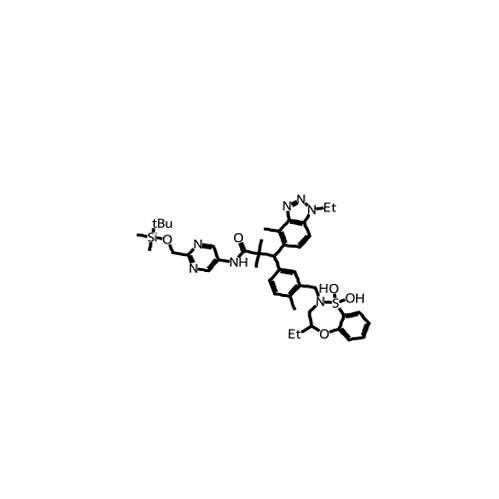 CCC1CN(Cc2cc(C(c3ccc4c(nnn4CC)c3C)C(C)(C)C(=O)Nc3cnc(CO[Si](C)(C)C(C)(C)C)nc3)ccc2C)S(O)(O)c2ccccc2O1